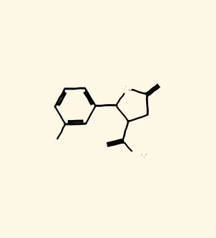 COC(=O)C1CC(=O)NC1c1cccc(Cl)c1